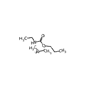 CCCOC(=O)NCC.[CH3][Al][CH3]